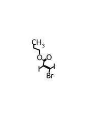 CCCOC(=O)/C(I)=C(/Br)I